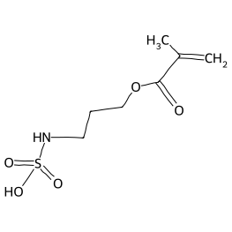 C=C(C)C(=O)OCCCNS(=O)(=O)O